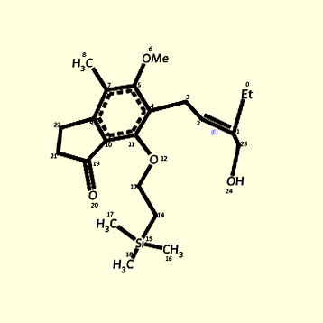 CC/C(=C\Cc1c(OC)c(C)c2c(c1OCC[Si](C)(C)C)C(=O)CC2)CO